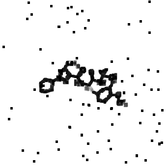 Cc1nn(-c2ccccc2)nc1C(=O)N[C@@H](Cc1ccc(OC(F)(F)F)c(Cl)c1)C(=O)NC1(C#N)CC1